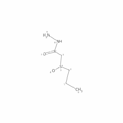 CCC[S+]([O-])CC(=O)NN